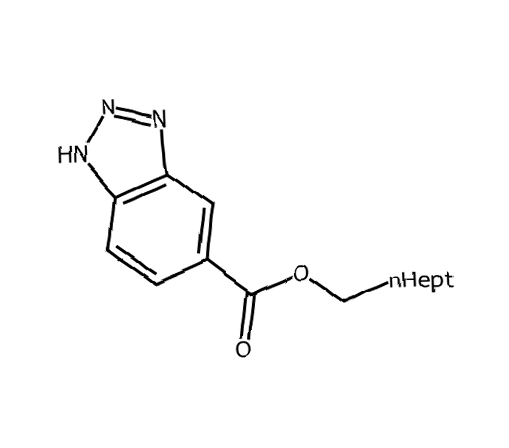 CCCCCCCCOC(=O)c1ccc2[nH]nnc2c1